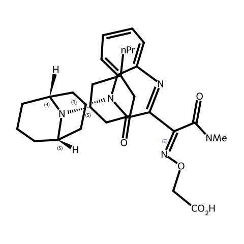 CCCC1CCC[C@H](N2[C@@H]3CCC[C@H]2C[C@@H](n2c(=O)c(/C(=N/OCC(=O)O)C(=O)NC)nc4ccccc42)C3)C1